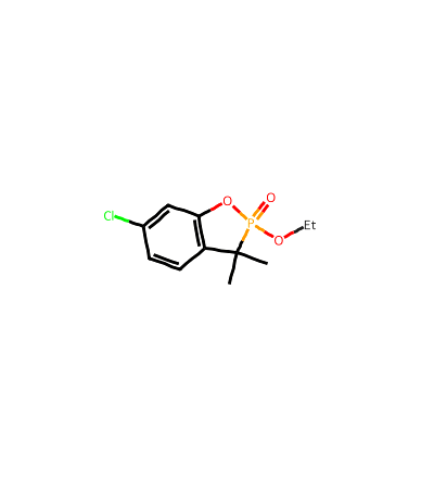 CCOP1(=O)Oc2cc(Cl)ccc2C1(C)C